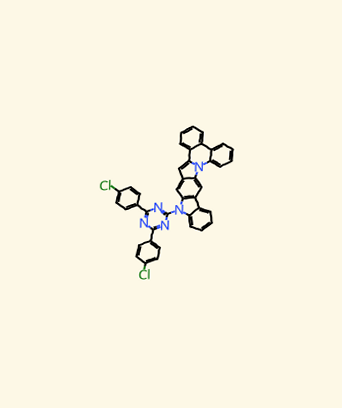 Clc1ccc(-c2nc(-c3ccc(Cl)cc3)nc(-n3c4ccccc4c4cc5c(cc43)cc3c4ccccc4c4ccccc4n53)n2)cc1